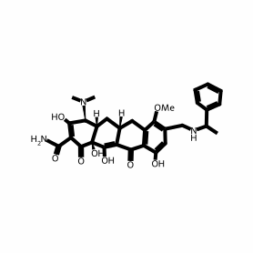 COc1c(CNC(C)c2ccccc2)cc(O)c2c1C[C@H]1C[C@H]3[C@H](N(C)C)C(O)=C(C(N)=O)C(=O)[C@@]3(O)C(O)=C1C2=O